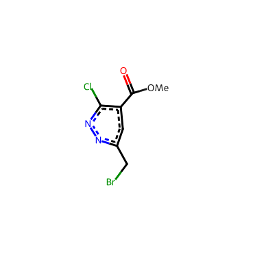 COC(=O)c1cc(CBr)nnc1Cl